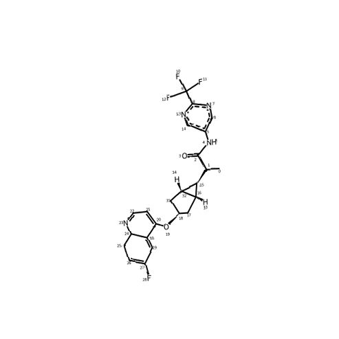 CC(C(=O)Nc1cnc(C(F)(F)F)nc1)[C@H]1[C@@H]2C[C@@H](OC3=CC=NC4CC=C(F)C=C34)C[C@@H]21